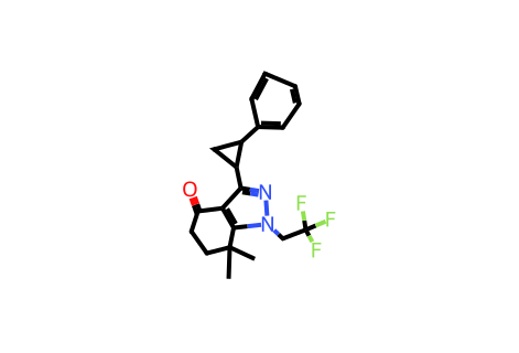 CC1(C)CCC(=O)c2c(C3CC3c3ccccc3)nn(CC(F)(F)F)c21